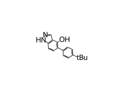 CC(C)(C)c1ccc(-c2ccc3[nH]ncc3c2O)cc1